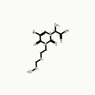 COCOCCn1c(=O)c(Br)cn(C(C)C(=O)O)c1=O